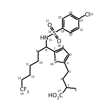 CC(CCc1ccc(C(CCCCCC(F)(F)F)NS(=O)(=O)c2ccc(Cl)cc2)s1)C(=O)O